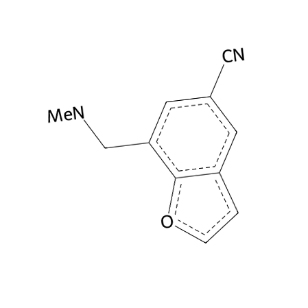 CNCc1cc(C#N)cc2ccoc12